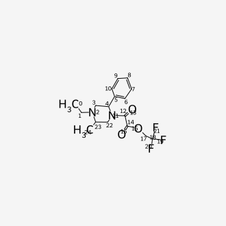 CCN1CC(c2ccccc2)N(C(=O)C(=O)OCC(F)(F)F)CC1C